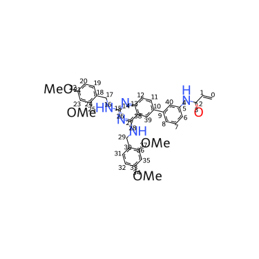 C=CC(=O)Nc1cccc(-c2ccc3nc(NCc4ccc(OC)cc4OC)nc(NCc4ccc(OC)cc4OC)c3c2)c1